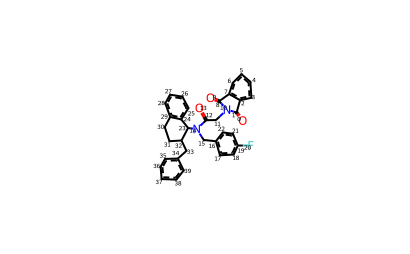 O=C1c2ccccc2C(=O)N1CC(=O)N(Cc1ccc(F)cc1)C1c2ccccc2CCC1Cc1ccccc1